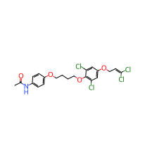 CC(=O)Nc1ccc(OCCCCOc2c(Cl)cc(OCC=C(Cl)Cl)cc2Cl)cc1